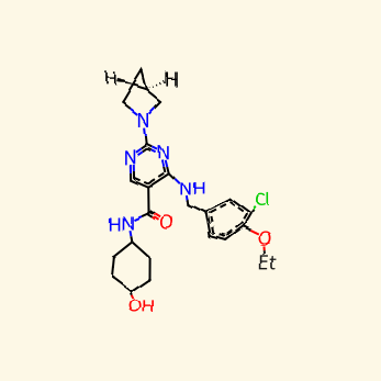 CCOc1ccc(CNc2nc(N3C[C@@H]4C[C@H]4C3)ncc2C(=O)NC2CCC(O)CC2)cc1Cl